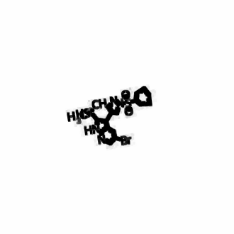 C[SiH](C)c1[nH]c2ncc(Br)cc2c1-c1cnn(S(=O)(=O)c2ccccc2)c1